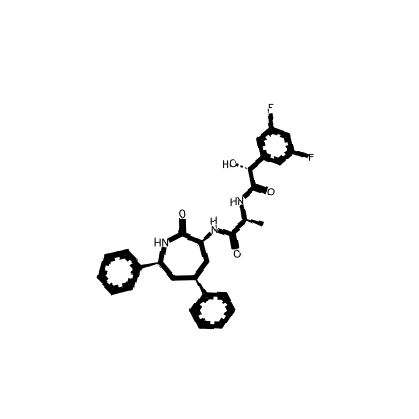 C[C@H](NC(=O)[C@H](O)c1cc(F)cc(F)c1)C(=O)N[C@H]1C[C@@H](c2ccccc2)C[C@@H](c2ccccc2)NC1=O